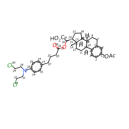 CC(=O)Oc1ccc2c(c1)CC[C@@H]1[C@@H]2CC[C@]2(C)[C@@H](C(OC(=O)CCCc3ccc(N(CCCl)CCCl)cc3)C(=O)O)CC[C@@H]12